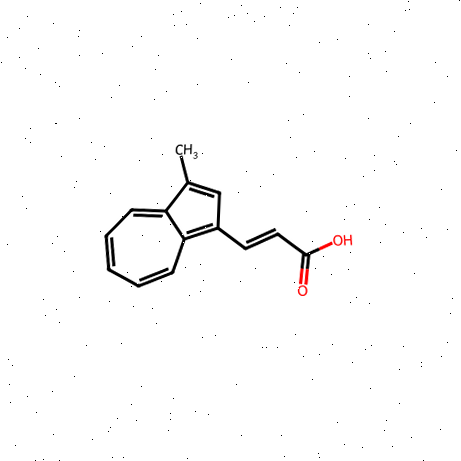 Cc1cc(/C=C/C(=O)O)c2cccccc1-2